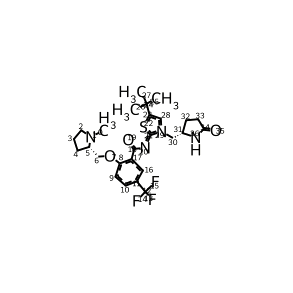 CN1CCC[C@H]1COc1ccc(C(F)(F)F)cc1C(=O)/N=c1\sc(C(C)(C)C)cn1C[C@@H]1CCC(=O)N1